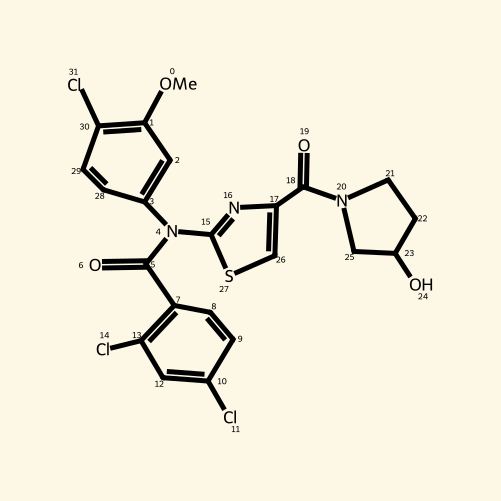 COc1cc(N(C(=O)c2ccc(Cl)cc2Cl)c2nc(C(=O)N3CCC(O)C3)cs2)ccc1Cl